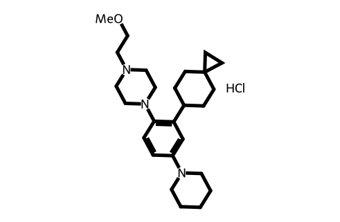 COCCN1CCN(c2ccc(N3CCCCC3)cc2C2CCC3(CC2)CC3)CC1.Cl